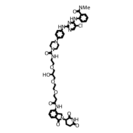 CNC(=O)c1ccccc1Nc1nc(Nc2ccc(N3CCN(C(=O)NCCOCC(O)COCCOCCC(=O)Nc4cccc5c4CN(C4CCC(=O)NC4=O)C5=O)CC3)cc2)ncc1Cl